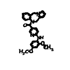 COc1ccc(Nc2ccc(C(=O)N3Cc4cccn4Cc4ccccc43)cn2)c(OC)c1